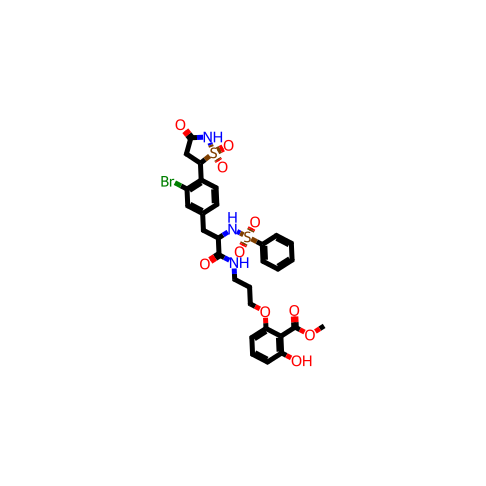 COC(=O)c1c(O)cccc1OCCCNC(=O)C(Cc1ccc(C2CC(=O)NS2(=O)=O)c(Br)c1)NS(=O)(=O)c1ccccc1